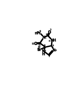 CCCN1C(=O)NC2N=CNC2(Br)C1=O